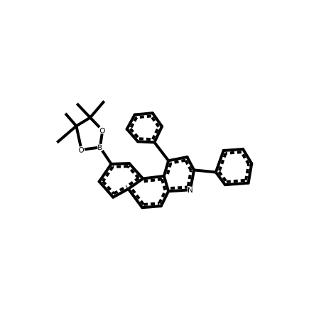 CC1(C)OB(c2ccc3ccc4nc(-c5ccccc5)cc(-c5ccccc5)c4c3c2)OC1(C)C